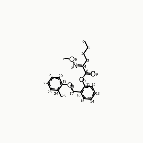 CCCCC(=NOC)C(=O)Oc1ccccc1COc1ccccc1C